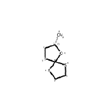 C[C@H]1CSC2(O1)SCCS2